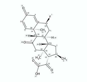 C[C@@H]1C[C@H]2[C@@H]3C[C@H](F)C4=CC(=O)C=C[C@]4(C)[C@H]3C(=O)C[C@]2(C)[C@H]1C(=O)C(=O)O